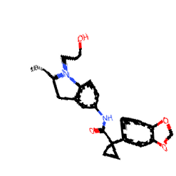 CC(C)(C)C1Cc2cc(NC(=O)C3(c4ccc5c(c4)OCO5)CC3)ccc2N1CCO